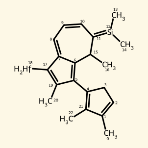 CC1=CCC(C2=C3C(=CC=CC(=[Si](C)C)C3C)[C]([HfH2])=C2C)=C1C